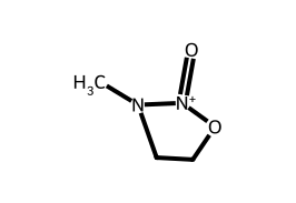 CN1CCO[N+]1=O